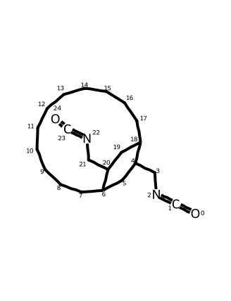 O=C=NCC1CC2CCCCCCCCCCCC1CC2CN=C=O